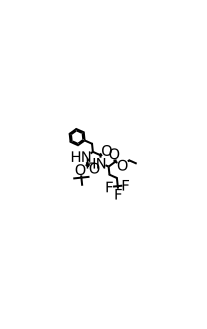 CCOC(=O)C(CCC(F)(F)F)NC(=O)C(Cc1ccccc1)NC(=O)OC(C)(C)C